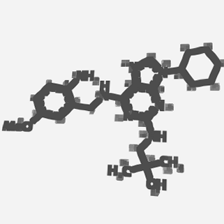 COc1ccc(N)c(CNc2nc(NCC(C)(C)O)nc3c2ncn3C2CCCCC2)c1